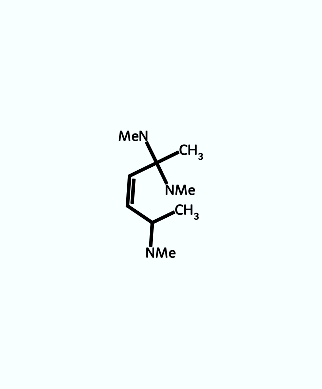 CNC(C)/C=C\C(C)(NC)NC